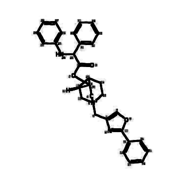 O=C(O[C@H]1C[N+]2(Cc3coc(-c4ccccc4)n3)CCC1CC2)C(Nc1ccccc1)c1ccccc1